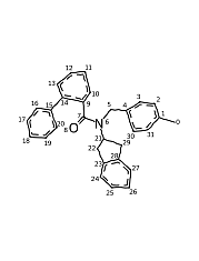 Cc1ccc(CN(C(=O)c2ccccc2-c2ccccc2)C2Cc3ccccc3C2)cc1